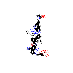 Cc1c(Nc2nccc3cc(CN4CC[C@@H](O)C4)cnc23)cccc1-c1cccc(-c2nc3cc4c(c(C#N)c3o2)CC[C@H]4NCC(O)CO)c1C